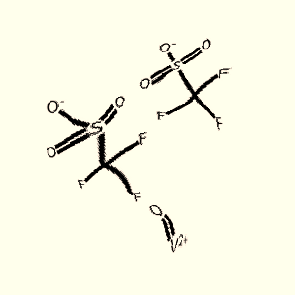 O=S(=O)([O-])C(F)(F)F.O=S(=O)([O-])C(F)(F)F.[O]=[V+2]